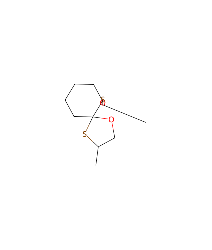 CC1COC2(CCCCC23OCC(C)S3)S1